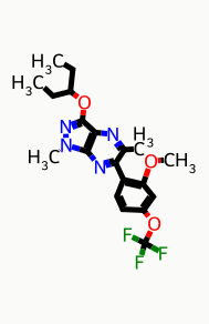 CCC(CC)Oc1nn(C)c2nc(-c3ccc(OC(F)(F)F)cc3OC)c(C)nc12